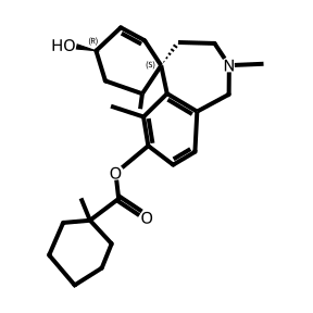 Cc1c(OC(=O)C2(C)CCCCC2)ccc2c1[C@@]1(C=C[C@H](O)CC1C)CCN(C)C2